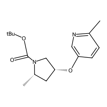 Cc1ccc(O[C@@H]2C[C@H](C)N(C(=O)OC(C)(C)C)C2)cn1